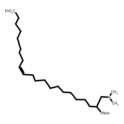 CCCCCCCCCC(CCCCCCCCCC/C=C\CCCCCCCC(=O)OCC)CN(C)C